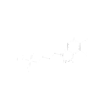 Cc1c(Br)ccc2c1nnn2CCCOS(C)(=O)=O